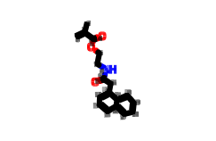 C=C(C)C(=O)OCCNC(=O)Cc1cccc2ccccc12